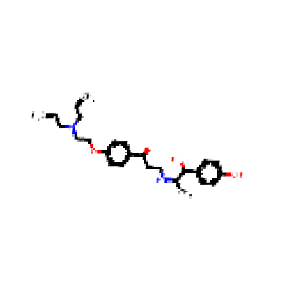 C=CCN(CC=C)CCOc1ccc(C(=O)CCNC(C)C(O)c2ccc(O)cc2)cc1